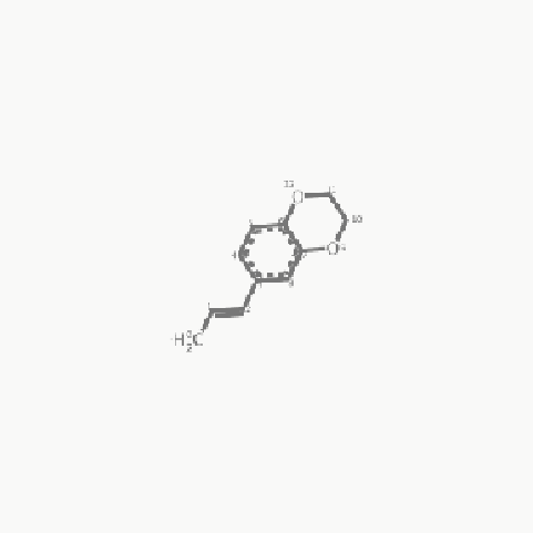 [CH2]/C=C/c1ccc2c(c1)OCCO2